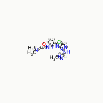 CN(C)CC=CC(=O)N[C@@H]1CCC[C@@H](CNc2nc(Nc3cnn(C)c3)ncc2Cl)C1